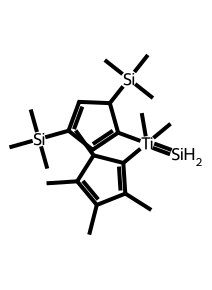 CC1=C(C)C(C)[C]([Ti]([CH3])([CH3])(=[SiH2])[C]2=CC([Si](C)(C)C)=CC2[Si](C)(C)C)=C1C